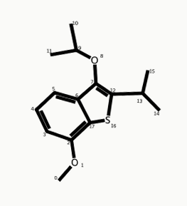 COc1cccc2c(OC(C)C)c(C(C)C)sc12